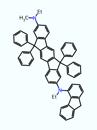 CCN(C)c1ccc2c(c1)C(c1ccccc1)(c1ccccc1)c1cc3c(cc1-2)C(c1ccccc1)(c1ccccc1)c1cc(N(CC)c2cccc4c2-c2ccccc2C4)ccc1-3